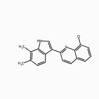 Cc1ccc2c(-c3ccc4cccc(Cl)c4n3)c[nH]c2c1C